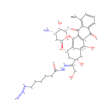 COc1cccc2c1C(=O)c1c(O)c3c(c(O)c1C2=O)C[C@@](O)(C(CO)=NNC(=O)CCCCCN=[N+]=[N-])C[C@@H]3O[C@H]1C[C@H](N)[C@H](O)[C@H](C)O1